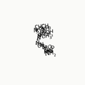 Cc1ncsc1-c1ccc(C(C)NC(=O)[C@@H]2C[C@@H](O)CN2C(=O)C(c2cc(N3CCC(CN4CCC(Oc5cc(N6CCC(n7nc(N)c8nnc(-c9ccccc9O)cc87)CC6)ccn5)CC4)CC3)no2)C(C)C)cc1